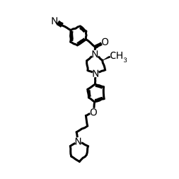 C[C@H]1CN(c2ccc(OCCCN3CCCCC3)cc2)CCN1C(=O)c1ccc(C#N)cc1